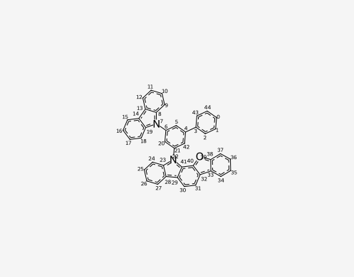 c1ccc(-c2cc(-n3c4ccccc4c4ccccc43)cc(-n3c4ccccc4c4ccc5c6ccccc6oc5c43)c2)cc1